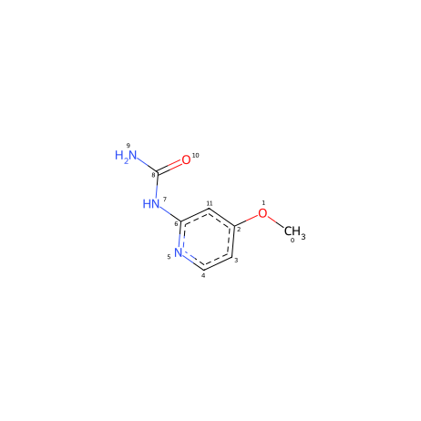 COc1ccnc(NC(N)=O)c1